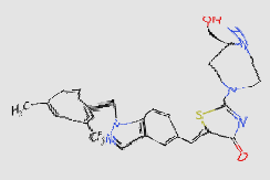 Cc1ccc(Cn2ncc3cc(/C=C4\SC(N5CCN[C@H](CO)C5)=NC4=O)ccc32)c(C(F)(F)F)c1